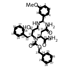 COc1cccc(CNC[C@@H](O)[C@H](Cc2ccccc2)N(C(=O)OCc2ccccc2)[C@@H](CC(N)=O)C(N)=O)c1